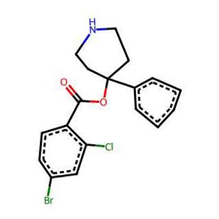 O=C(OC1(c2ccccc2)CCNCC1)c1ccc(Br)cc1Cl